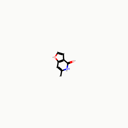 Cc1cc2occc2c(=O)[nH]1